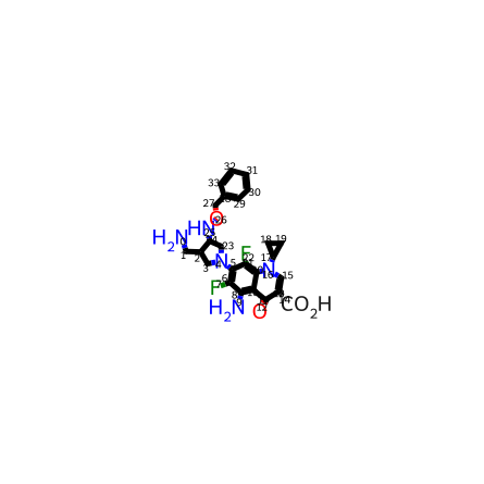 NCC1CN(c2c(F)c(N)c3c(=O)c(C(=O)O)cn(C4CC4)c3c2F)CC1NOCc1ccccc1